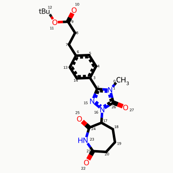 Cn1c(-c2ccc(CCC(=O)OC(C)(C)C)cc2)nn(C2CCCC(=O)NC2=O)c1=O